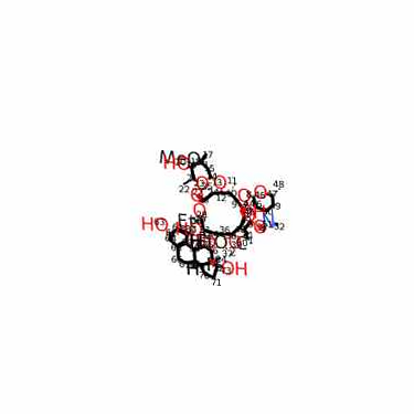 CCOC(=O)CCC(=O)O[C@H]1[C@H](O[C@@H]2[C@@H](C)[C@H](O[C@H]3C[C@@](C)(OC)[C@@H](O)[C@H](C)O3)[C@@H](C)C(=O)O[C@H](CC)[C@@](C)(O)[C@H](O)[C@@H](C)C(=O)[C@H](C)C[C@@]2(C)O)O[C@H](C)C[C@@H]1N(C)C.C[C@]12CC[C@@H]3c4ccc(O)cc4CC[C@H]3[C@@H]1CC[C@@H]2O